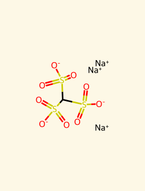 O=S(=O)([O-])C(S(=O)(=O)[O-])S(=O)(=O)[O-].[Na+].[Na+].[Na+]